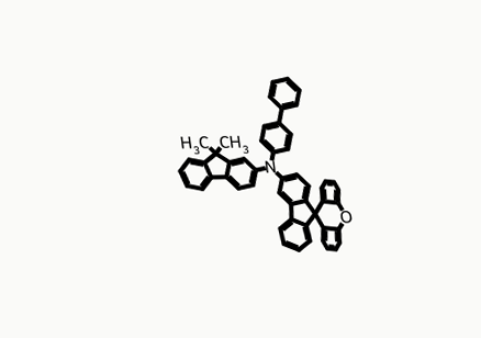 CC1(C)c2ccccc2-c2ccc(N(c3ccc(-c4ccccc4)cc3)c3ccc4c(c3)-c3ccccc3C43c4ccccc4Oc4ccccc43)cc21